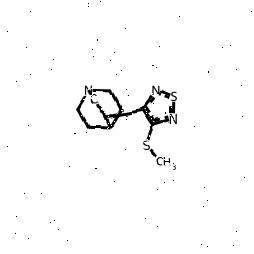 CSc1nsnc1C1CN2CCC1CC2